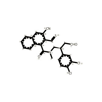 CN(C[C@@H](CC=O)c1ccc(Cl)c(Cl)c1)C(=O)c1c(C=S)c(C#N)cc2ccccc12